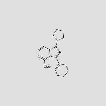 COc1nccc2c1c(C1=CCCCC1)nn2C1CCCC1